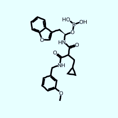 COc1cccc(CNC(=O)C(CC2CC2)C(=O)N[C@@H](Cc2coc3ccccc23)OB(O)O)c1